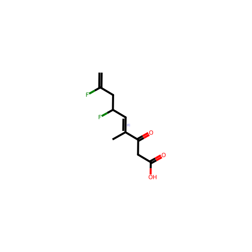 C=C(F)CC(F)/C=C(\C)C(=O)CC(=O)O